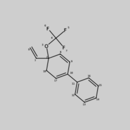 C=CC1(OC(F)(F)F)C=CC(c2ccccc2)=CC1